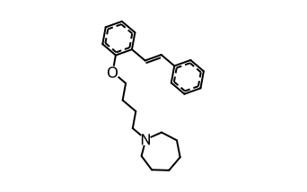 C(=Cc1ccccc1OCCCCN1CCCCCC1)c1ccccc1